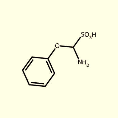 NC(Oc1ccccc1)S(=O)(=O)O